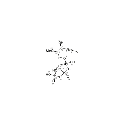 CC#C[C@H](O)[C@@H](COP(=O)(O)OP(=O)(O)OP(=O)(O)O)OC